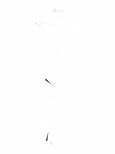 CCCCCC1(C#N)CCCC([C@H]2CC[C@H]([C@H]3CC[C@H](CCCC)CC3)CC2)C1